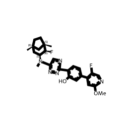 COc1cc(-c2ccc(-c3ncc(N(C)[C@H]4C[C@]5(C)CC[C@@](C)(C5)[C@H]4F)nn3)c(O)c2)c(F)cn1